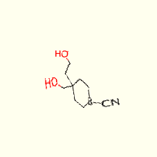 N#CB1CCC(CO)(CCO)CC1